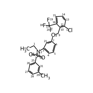 CCN(c1cccc(OCc2c(Cl)cccc2C(F)(F)F)c1)S(=O)(=O)c1cccc(C)c1